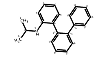 CC(C)Nc1ccccc1-c1ccccc1-c1ccccc1